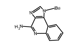 CCC(C)n1cnc2c(N)nc3ccccc3c21